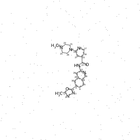 Cc1nnc(-c2ccc3cnc(NC(=O)c4ccnc(N5CCN(C)CC5)c4)cc3c2)o1